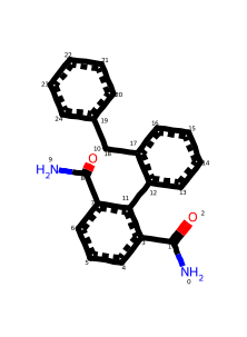 NC(=O)c1cccc(C(N)=O)c1-c1ccccc1Cc1ccccc1